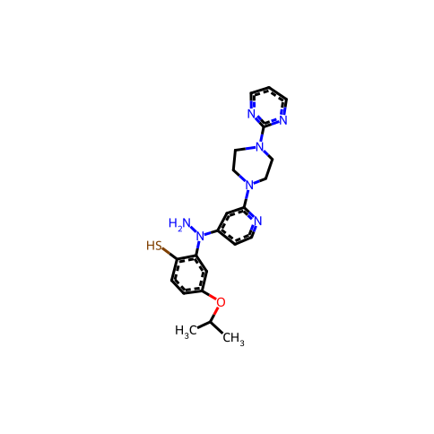 CC(C)Oc1ccc(S)c(N(N)c2ccnc(N3CCN(c4ncccn4)CC3)c2)c1